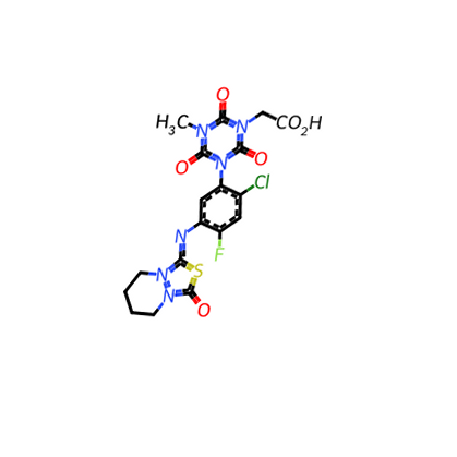 Cn1c(=O)n(CC(=O)O)c(=O)n(-c2cc(N=c3sc(=O)n4n3CCCC4)c(F)cc2Cl)c1=O